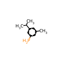 Cc1cc(P)cc(C(C)C)c1